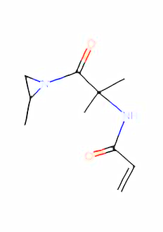 C=CC(=O)NC(C)(C)C(=O)N1CC1C